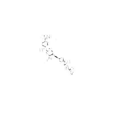 CCCNc1nc(Nc2ccc(C(N)=O)cc2)ncc1C#Cc1ccc(NC(=O)CNC(=O)OC(C)(C)C)cc1